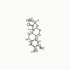 CCCCC(C)(C)C(=O)C1(C)CCCC2c3cc(C(C)=O)c(C(C)C)cc3CCC21